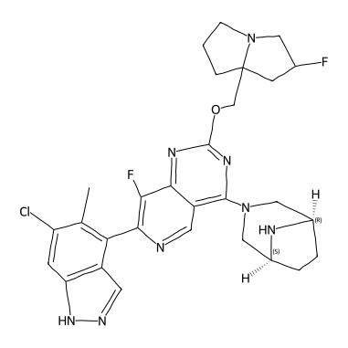 Cc1c(Cl)cc2[nH]ncc2c1-c1ncc2c(N3C[C@H]4CC[C@@H](C3)N4)nc(OCC34CCCN3CC(F)C4)nc2c1F